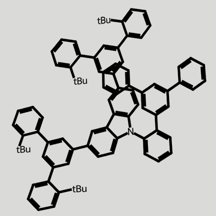 CC(C)(C)c1ccccc1-c1cc(-c2ccc3c(c2)c2cc(-c4cc(-c5ccccc5C(C)(C)C)cc(-c5ccccc5C(C)(C)C)c4)ccc2n3-c2ccccc2-c2cc(-c3ccccc3)cc(-c3ccccc3)c2)cc(-c2ccccc2C(C)(C)C)c1